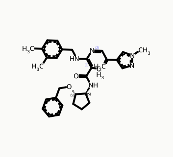 C=C(/C=N\C(NCc1ccc(C)c(C)c1)=C(/C)C(=O)N[C@H]1CCC[C@@H]1OCc1ccccc1)c1cnn(C)c1